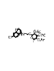 CC(=O)O[C@@H]1[C@H](OC(C)=O)[C@H](C)OC(OCCNc2ccnc3cc(Cl)ccc23)[C@H]1OC(C)=O